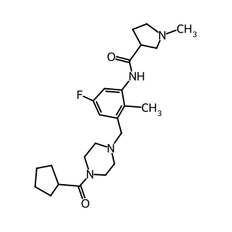 Cc1c(CN2CCN(C(=O)C3CCCC3)CC2)cc(F)cc1NC(=O)C1CCN(C)C1